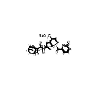 CCOC(=O)C1C=CN(C(=O)c2cccc(Cl)n2)C2SC(NC(=O)C34CC5CC(CC3C5)C4)CC12